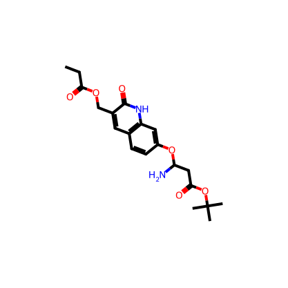 CCC(=O)OCc1cc2ccc(OC(N)CC(=O)OC(C)(C)C)cc2[nH]c1=O